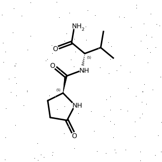 CC(C)[C@H](NC(=O)[C@@H]1CCC(=O)N1)C(N)=O